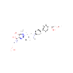 COCC(O)Cc1ccc(-c2ccc(N3CCC(Cc4nc(C)c(O)c(C(=O)NCCOO)n4)CC3)cc2)cc1